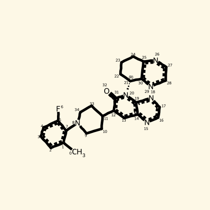 Cc1cccc(F)c1N1CCC(c2cc3nccnc3n([C@@H]3CCCc4nccnc43)c2=O)CC1